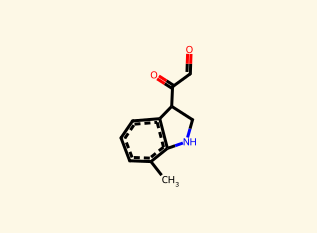 Cc1cccc2c1NCC2C(=O)C=O